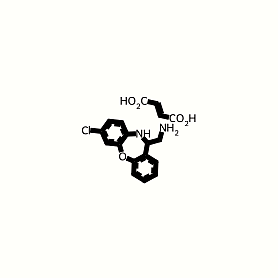 NCC1Nc2ccc(Cl)cc2Oc2ccccc21.O=C(O)C=CC(=O)O